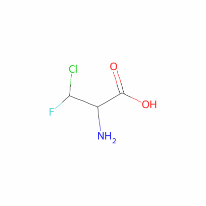 NC(C(=O)O)C(F)Cl